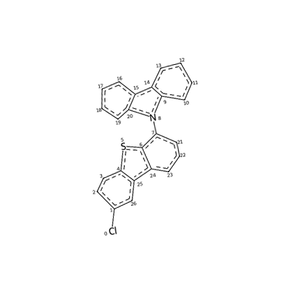 Clc1ccc2sc3c(-n4c5ccccc5c5ccccc54)cccc3c2c1